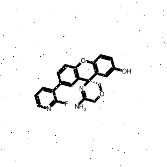 NC1=N[C@]2(COC1)c1cc(O)ccc1Oc1ccc(-c3cccnc3F)cc12